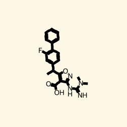 CC(c1ccc(-c2ccccc2)c(F)c1)c1onc(NC(=N)N(C)C)c1C(=O)O